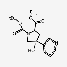 CC(C)(C)OC(=O)N1C[C@](O)(c2cccnc2)CC1C(=O)OP